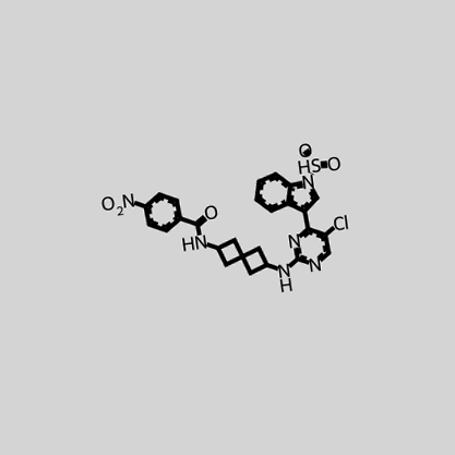 O=C(NC1CC2(C1)CC(Nc1ncc(Cl)c(-c3cn([SH](=O)=O)c4ccccc34)n1)C2)c1ccc([N+](=O)[O-])cc1